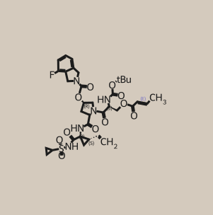 C=C[C@@H]1C[C@]1(NC(=O)C1C[C@@H](OC(=O)N2Cc3cccc(F)c3C2)CN1C(=O)[C@H](COC(=O)/C=C/C)NC(=O)OC(C)(C)C)C(=O)NS(=O)(=O)C1CC1